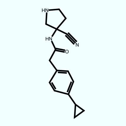 N#CC1(NC(=O)Cc2ccc(C3CC3)cc2)CCNC1